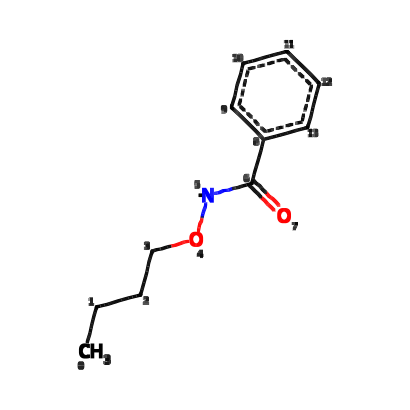 CCCCO[N]C(=O)c1ccccc1